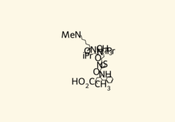 CNCCCCCC(=O)N[C@H](C(=O)N(C)[C@H](CCc1nc(C(=O)N[C@@H](Cc2ccccc2)C[C@H](C)C(=O)O)cs1)C(C)C)C(C)C